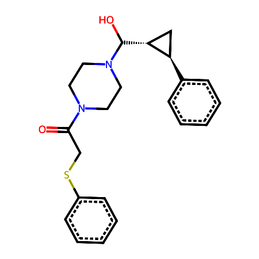 O=C(CSc1ccccc1)N1CCN(C(O)[C@@H]2C[C@H]2c2ccccc2)CC1